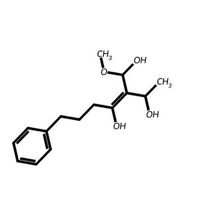 COC(O)/C(=C(/O)CCCc1ccccc1)C(C)O